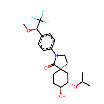 CO[C@H](c1ccc(N2CC[C@]3(CC[C@H](O)[C@@H](OC(C)C)C3)C2=O)cc1)C(F)(F)F